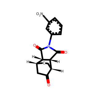 O=C1C[C@H]2CC[C@@H]1[C@H]1C(=O)N(c3cccc([N+](=O)[O-])c3)C(=O)[C@@H]21